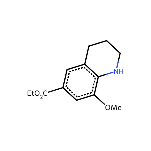 CCOC(=O)c1cc2c(c(OC)c1)NCCC2